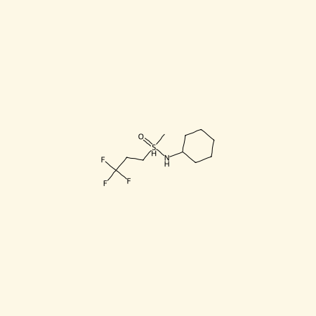 C[SH](=O)(CCC(F)(F)F)NC1CCCCC1